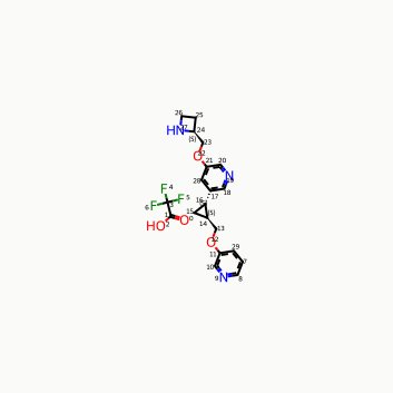 O=C(O)C(F)(F)F.c1cncc(OC[C@H]2C[C@@H]2c2cncc(OC[C@@H]3CCN3)c2)c1